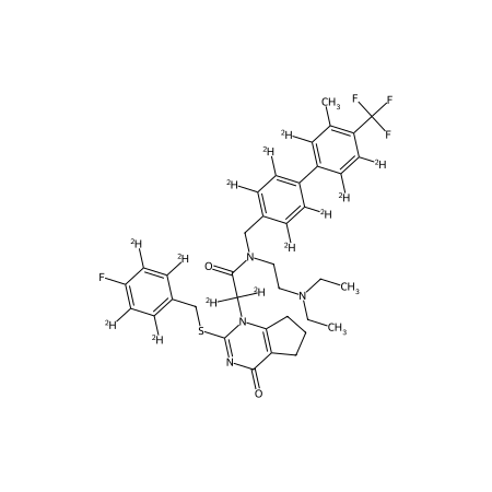 [2H]c1c([2H])c(CSc2nc(=O)c3c(n2C([2H])([2H])C(=O)N(CCN(CC)CC)Cc2c([2H])c([2H])c(-c4c([2H])c([2H])c(C(F)(F)F)c(C)c4[2H])c([2H])c2[2H])CCC3)c([2H])c([2H])c1F